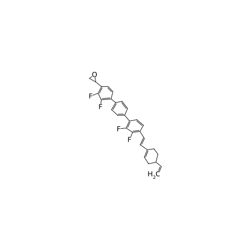 C=CC1CC=C(/C=C/c2ccc(-c3ccc(-c4ccc(C5CO5)c(F)c4F)cc3)c(F)c2F)CC1